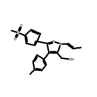 CC=Cn1nc(-c2ccc(S(C)(=O)=O)cc2)c(-c2ccc(C)cc2)c1CO